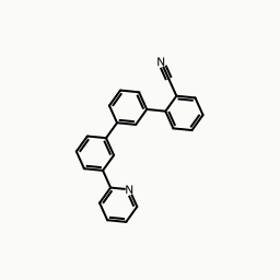 N#Cc1ccccc1-c1cccc(-c2cccc(-c3ccccn3)c2)c1